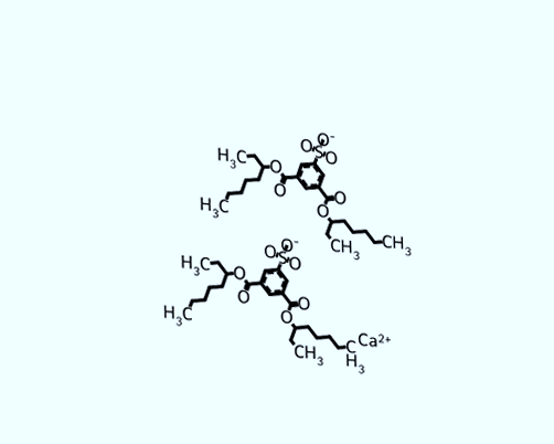 CCCCCC(CC)OC(=O)c1cc(C(=O)OC(CC)CCCCC)cc(S(=O)(=O)[O-])c1.CCCCCC(CC)OC(=O)c1cc(C(=O)OC(CC)CCCCC)cc(S(=O)(=O)[O-])c1.[Ca+2]